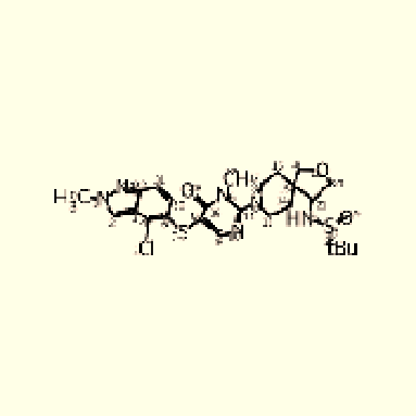 Cn1cc2c(Cl)c(Sc3cnc(N4CCC5(CC4)COCC5N[S@+]([O-])C(C)(C)C)n(C)c3=O)ccc2n1